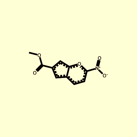 COC(=O)c1cc2ccc([N+](=O)[O-])oc-2c1